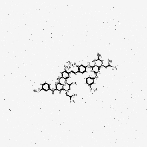 CC(O)CN(CC(C)O)c1nc(Nc2cccc(S(=O)(=O)O)c2)nc(Nc2ccc(C=Cc3ccc(Nc4nc(Nc5cccc(S(=O)(=O)O)c5)nc(N(CC(C)O)CC(C)O)n4)cc3S(=O)(=O)O)c(S(=O)(=O)O)c2)n1.[Na]